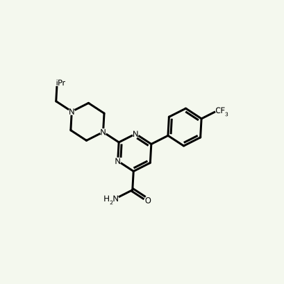 CC(C)CN1CCN(c2nc(C(N)=O)cc(-c3ccc(C(F)(F)F)cc3)n2)CC1